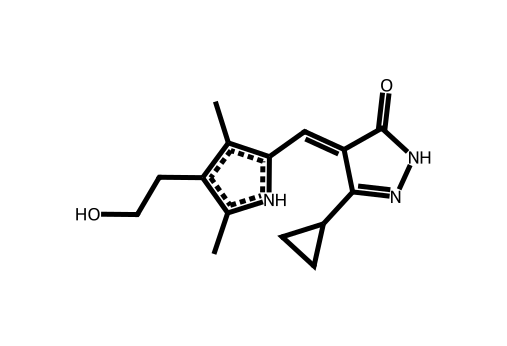 Cc1[nH]c(/C=C2/C(=O)NN=C2C2CC2)c(C)c1CCO